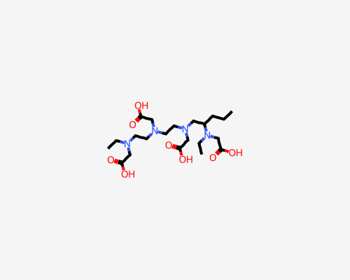 CCCC(CN(CCN(CCN(CC)CC(=O)O)CC(=O)O)CC(=O)O)N(CC)CC(=O)O